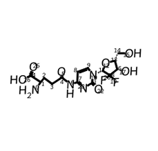 NC(CCC(=O)Nc1ccn([C@@H]2O[C@H](CO)[C@H](O)C2(F)F)c(=O)n1)C(=O)O